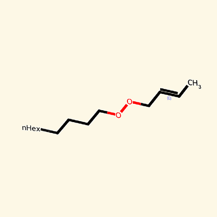 C/C=C/COOCCCCCCCCCC